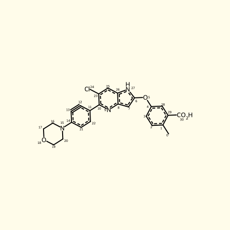 Cc1ccc(Oc2cc3nc(-c4c#cc(N5CCOCC5)cc4)c(Cl)cc3[nH]2)cc1C(=O)O